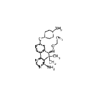 CCO/N=C1\c2cc(OC3CCC(N)CC3)ccc2-c2ncnc(N)c2C1(C)C